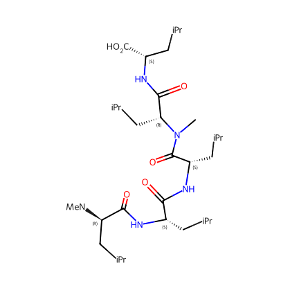 CN[C@H](CC(C)C)C(=O)N[C@@H](CC(C)C)C(=O)N[C@@H](CC(C)C)C(=O)N(C)[C@H](CC(C)C)C(=O)N[C@@H](CC(C)C)C(=O)O